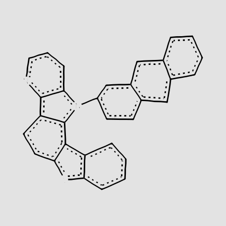 c1ccc2cc3cc(-n4c5cccnc5c5ccc6sc7ccccc7c6c54)ccc3cc2c1